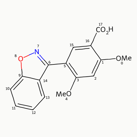 COc1cc(OC)c(-c2noc3ccccc23)cc1C(=O)O